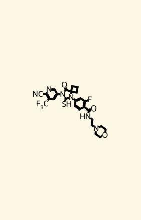 N#Cc1ncc(N2C(=O)C3(CCC3)N(c3ccc(C(=O)NCCN4CCOCC4)c(F)c3)C2S)cc1C(F)(F)F